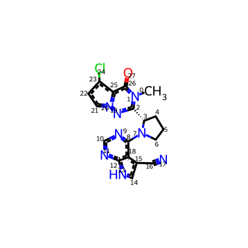 Cn1c([C@@H]2CCCN2c2ncnc3[nH]cc(C#N)c23)nn2ccc(Cl)c2c1=O